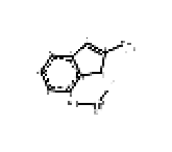 CC1=Cc2ccccc2[CH]1.[I][Hf][I]